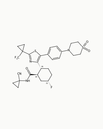 N#CC1(NC(=O)[C@@H]2C[C@@H](F)CC[C@H]2c2nc(C3(C(F)(F)F)CC3)sc2-c2ccc(N3CCS(=O)(=O)CC3)cc2)CC1